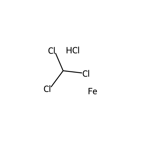 Cl.ClC(Cl)Cl.[Fe]